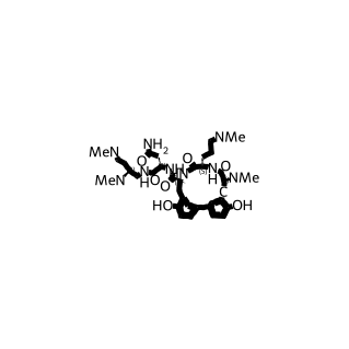 CNCCC[C@@H]1NC(=O)[C@@H](NC)Cc2cc(ccc2O)-c2ccc(O)c(c2)C[C@@H](C(=O)N[C@@H](CC(N)=O)C(=O)NC[C@H](CCNC)NC)NC1=O